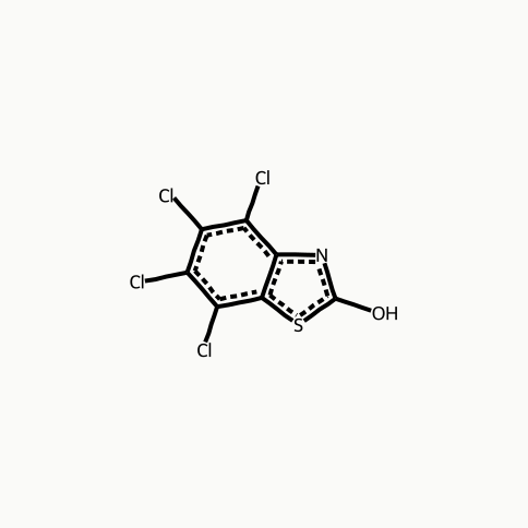 Oc1nc2c(Cl)c(Cl)c(Cl)c(Cl)c2s1